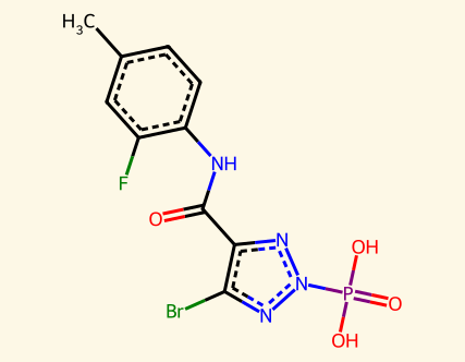 Cc1ccc(NC(=O)c2nn(P(=O)(O)O)nc2Br)c(F)c1